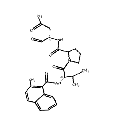 Cc1ccc2ccccc2c1C(=O)N[C@H](C(=O)N1CCCC1C(=O)N[C@H](C=O)CC(=O)O)C(C)C